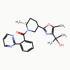 Cc1oc(C2CC[C@@H](C)N(C(=O)c3ccccc3-c3ncccn3)C2)nc1C(C)(C)O